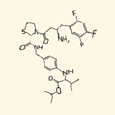 CC(C)OC(=O)C(Nc1ccc(CNC(=O)[C@@H]2SCCN2C(=O)C[C@H](N)Cc2cc(F)c(F)cc2F)cc1)C(C)C